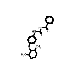 CC1CCCC(C)C1Oc1ccc(NC(=O)NC(=O)c2ccccc2)cc1